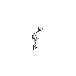 CN(C)CCn1cc[n+](CCN(C)C)c1